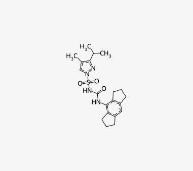 Cc1cn(S(=O)(=O)NC(=O)Nc2c3c(cc4c2CCC4)CCC3)nc1C(C)C